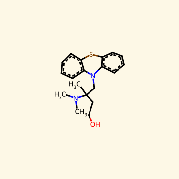 CN(C)C(C)(CCO)CN1c2ccccc2Sc2ccccc21